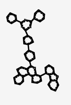 c1ccc(-c2nc(-c3ccccc3)nc(-c3ccc(-c4ccc(-c5nc6c(-c7cccc8sc9ccccc9c78)cccc6c6c5ccc5ccccc56)cc4)cc3)n2)cc1